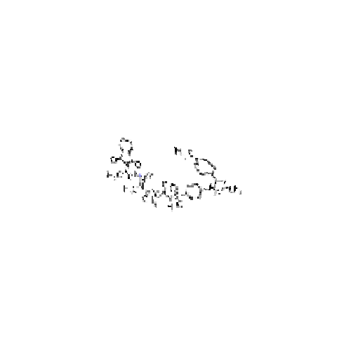 Cc1ccc(-c2cc(C(F)(F)F)nn2-c2ccc(S(=O)(=O)NC(=O)OC[C@H](C)N(C)/[N+]([O-])=N\OC(C)N3C(=O)c4ccccc4C3=O)cc2)cc1